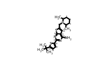 CC1CCCC(C)N1Cc1cc2c(N)nc(-c3ccc(C(C)(C)C)s3)nc2s1